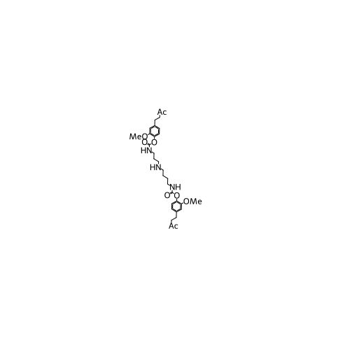 COc1cc(CCC(C)=O)ccc1OC(=O)NCCCCNCCCNC(=O)Oc1ccc(CCC(C)=O)cc1OC